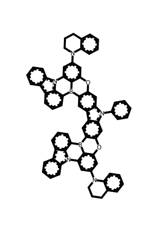 c1ccc(-n2c3cc4c(cc3c3cc5c(cc32)Oc2cc(N3CCCc6ccccc63)cc3c2B5c2cccc5c6ccccc6n-3c25)B2c3c(cc(N5CCCc6ccccc65)cc3-n3c5ccccc5c5cccc2c53)O4)cc1